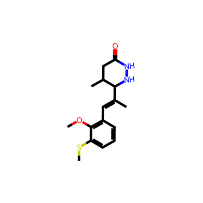 COc1c(/C=C(\C)C2NNC(=O)CC2C)cccc1SC